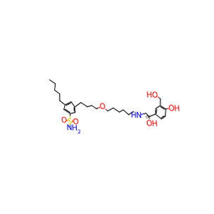 CCCCCc1cc(CCCCOCCCCCCNC[C@@H](O)c2ccc(O)c(CO)c2)cc(S(N)(=O)=O)c1